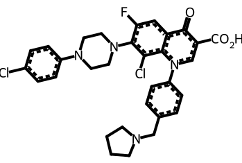 O=C(O)c1cn(-c2ccc(CN3CCCC3)cc2)c2c(Cl)c(N3CCN(c4ccc(Cl)cc4)CC3)c(F)cc2c1=O